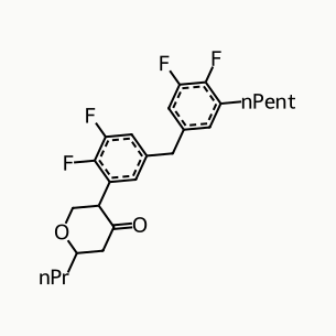 CCCCCc1cc(Cc2cc(F)c(F)c(C3COC(CCC)CC3=O)c2)cc(F)c1F